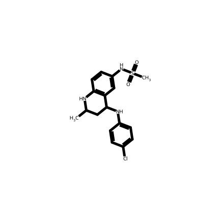 CC1CC(Nc2ccc(Cl)cc2)c2cc(NS(C)(=O)=O)ccc2N1